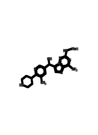 CCCC(C)Nc1nc(N)c2ncc(C(O)c3cnc(C4CCNCC4)c(C)c3)n2n1